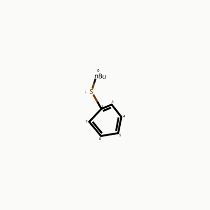 CC[CH]CSc1ccccc1